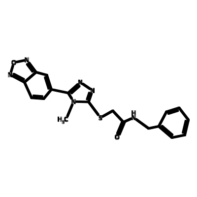 Cn1c(SCC(=O)NCc2ccccc2)nnc1-c1ccc2nonc2c1